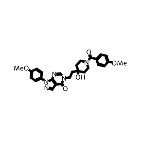 COc1ccc(C(=O)N2CCC(O)(CCn3cnc4c(cnn4-c4ccc(OC)cc4)c3=O)CC2)cc1